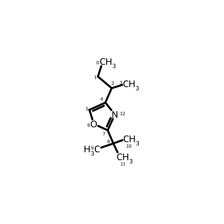 CCC(C)c1coc(C(C)(C)C)n1